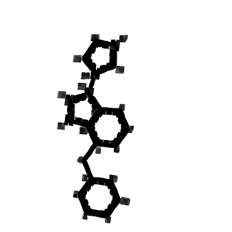 c1ccc(Cc2cccc3c2nnn3-n2ccnc2)cc1